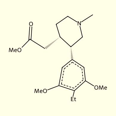 CCc1c(OC)cc([C@H]2CN(C)CC[C@H]2CC(=O)OC)cc1OC